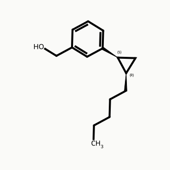 CCCCC[C@@H]1C[C@@H]1c1cccc(CO)c1